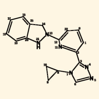 c1cc(-c2nncn2C2CC2)nc(N2Cc3ccccc3N2)c1